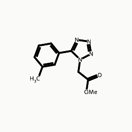 COC(=O)Cn1nnnc1-c1cccc(C)c1